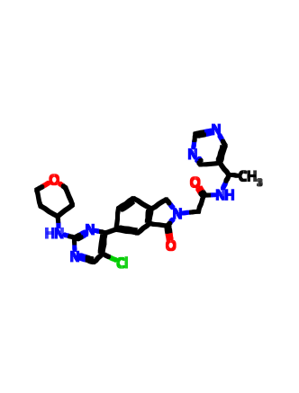 CC(NC(=O)CN1Cc2ccc(-c3nc(NC4CCOCC4)ncc3Cl)cc2C1=O)c1cncnc1